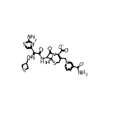 NC(=O)c1ccc[n+](CC2=C(C(=O)[O-])N3C(=O)C(NC(=O)C(=NOC4CSC4)c4csc(N)n4)[C@@H]3SC2)c1